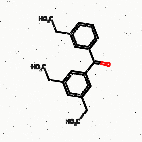 O=C(O)Cc1cccc(C(=O)c2cc(CC(=O)O)cc(CC(=O)O)c2)c1